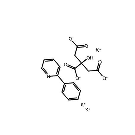 O=C([O-])CC(O)(CC(=O)[O-])C(=O)[O-].[K+].[K+].[K+].c1ccc(-c2ccccn2)cc1